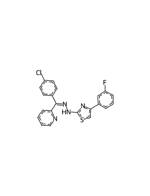 Fc1cccc(-c2csc(NN=C(c3ccc(Cl)cc3)c3ccccn3)n2)c1